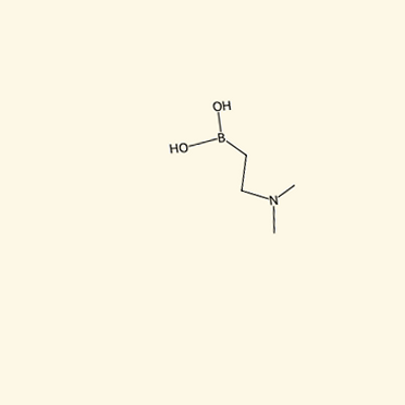 CN(C)CCB(O)O